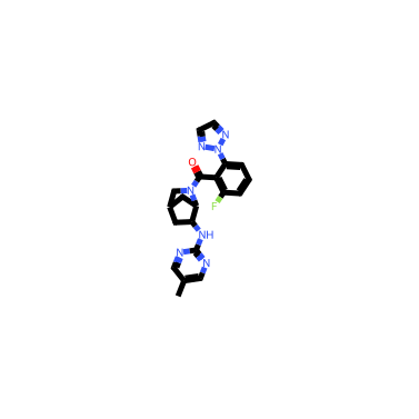 Cc1cnc(NC2CC3CC2N(C(=O)c2c(F)cccc2-n2nccn2)C3)nc1